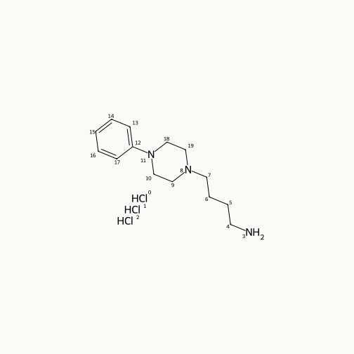 Cl.Cl.Cl.NCCCCN1CCN(c2ccccc2)CC1